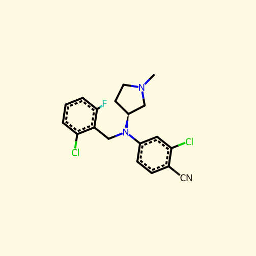 CN1CC[C@H](N(Cc2c(F)cccc2Cl)c2ccc(C#N)c(Cl)c2)C1